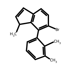 Cc1cccc(-c2c(Br)ccc3c2C(C)C=C3)c1C